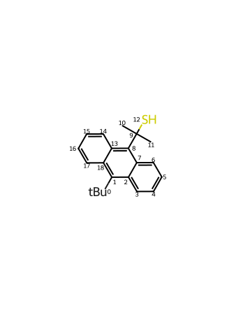 CC(C)(C)c1c2ccccc2c(C(C)(C)S)c2ccccc12